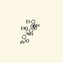 CCO[C@H]1CC(c2cccc(C(=O)C(C)C)c2)Nc2ccc(S(=O)(=O)Nc3cccc(CC)c3)cc21